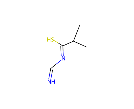 CC(C)/C(S)=N/C=N